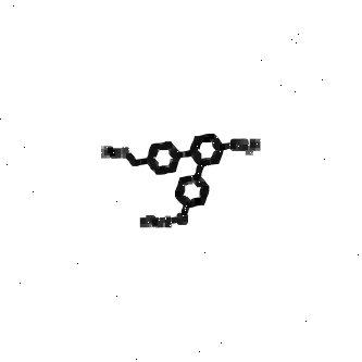 CCCCCOc1ccc(-c2cc(C(=O)O)ccc2-c2ccc(CC(C)CCC)cc2)cc1